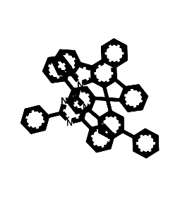 c1ccc(-c2ccc3c(c2)C2(c4cc(-c5ccccc5)ccc4-3)c3ccccc3-c3c2c2c(c4ccccc34)c3ccccc3n2-c2nc(-c3ccccc3)nc(-c3ccccc3)n2)cc1